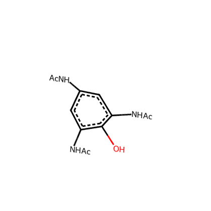 CC(=O)Nc1cc(NC(C)=O)c(O)c(NC(C)=O)c1